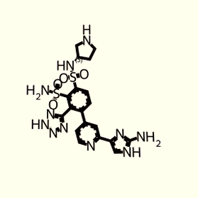 Nc1nc(-c2cc(-c3ccc(S(=O)(=O)N[C@H]4CCNC4)c(S(N)(=O)=O)c3-c3nn[nH]n3)ccn2)c[nH]1